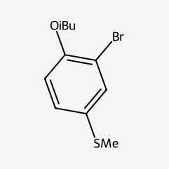 CSc1ccc(OCC(C)C)c(Br)c1